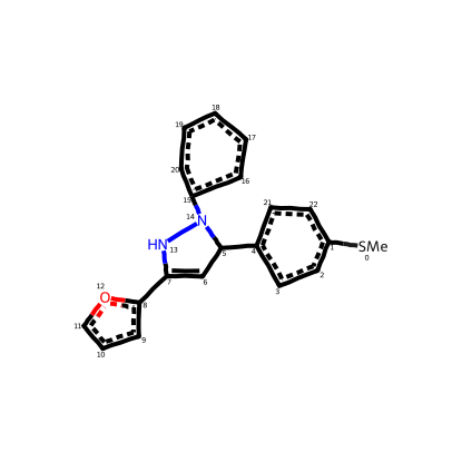 CSc1ccc(C2C=C(c3ccco3)NN2c2ccccc2)cc1